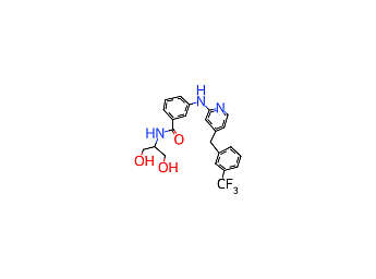 O=C(NC(CO)CO)c1cccc(Nc2cc(Cc3cccc(C(F)(F)F)c3)ccn2)c1